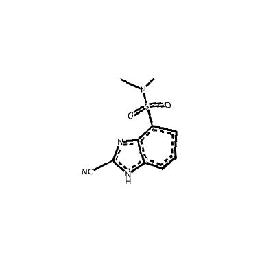 CN(C)S(=O)(=O)c1cccc2[nH]c(C#N)nc12